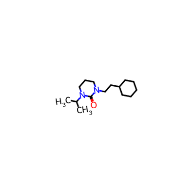 CC(C)N1CCCN(CCC2CCCCC2)C1=O